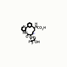 C[C@@H]1/C=C/C[C@H](NC(=O)O)c2cccc(c2)-c2ncccc2NC1=O.O=C(O)C(F)(F)F